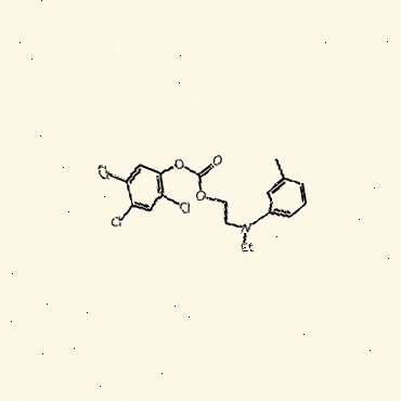 CCN(CCOC(=O)Oc1cc(Cl)c(Cl)cc1Cl)c1cccc(C)c1